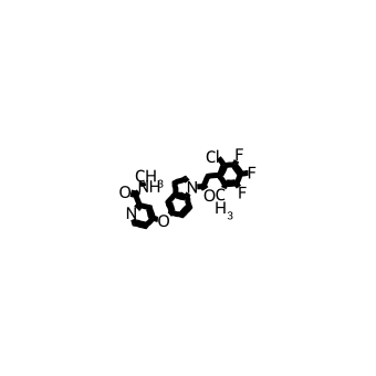 CNC(=O)c1cc(Oc2ccc3c(c2)CCN3C(=O)Cc2c(C)c(F)c(F)c(F)c2Cl)ccn1